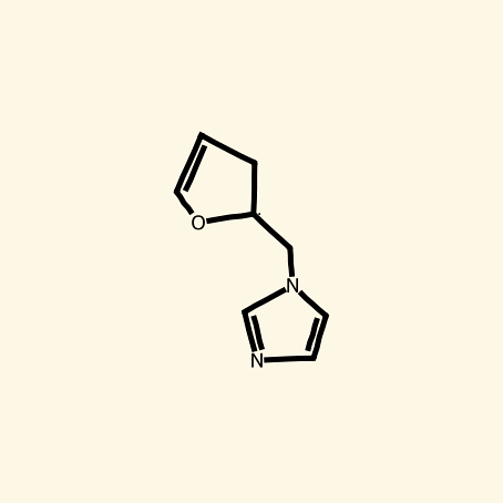 C1=CO[C](Cn2ccnc2)C1